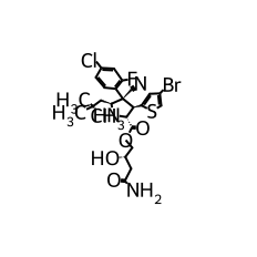 CC(C)(C)C[C@@H]1N[C@@H](C(=O)OC[C@@H](O)CC(N)=O)[C@H](c2cc(Br)cs2)[C@@]1(C#N)c1ccc(Cl)cc1F